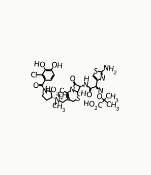 CC(C)(O/N=C(\C(=O)N[C@@H]1C(=O)N2C(C(=O)O)=C(C[N+](C)(C)[C@@H]3CCN(C(=O)c4ccc(O)c(O)c4Cl)C3)CS[C@H]12)c1csc(N)n1)C(=O)O